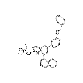 CCP(=O)(CC)Oc1ccc2cc(-c3cccc(OCc4ccccc4)c3)cc(-c3cccc4ccccc34)c2n1